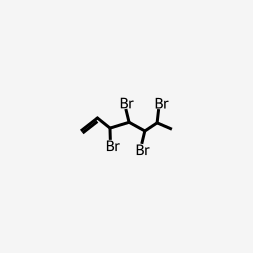 C=CC(Br)C(Br)C(Br)C(C)Br